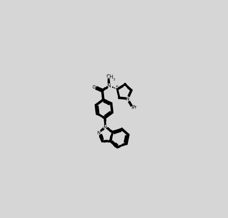 CC(C)N1CC[C@@H](N(C)C(=O)c2ccc(-n3ncc4ccccc43)cc2)C1